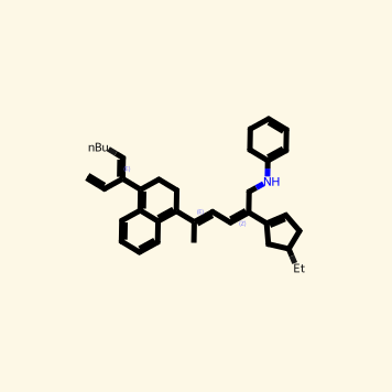 C=C/C(=C\CCCC)C1=c2ccccc2=C(/C(C)=C/C=C(\CNC2=CC=CCC2)C2=CCC(CC)C2)CC1